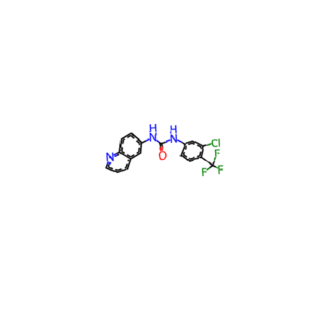 O=C(Nc1ccc(C(F)(F)F)c(Cl)c1)Nc1ccc2ncccc2c1